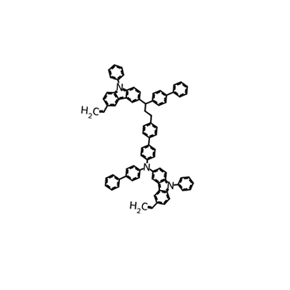 C=Cc1ccc2c(c1)c1cc(C(CCc3ccc(-c4ccc(N(c5ccc(-c6ccccc6)cc5)c5ccc6c(c5)c5cc(C=C)ccc5n6-c5ccccc5)cc4)cc3)c3ccc(-c4ccccc4)cc3)ccc1n2-c1ccccc1